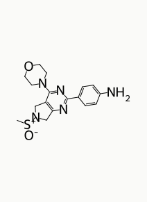 C[S+]([O-])N1Cc2nc(-c3ccc(N)cc3)nc(N3CCOCC3)c2C1